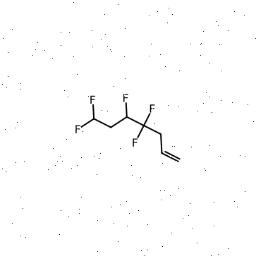 C=CCC(F)(F)C(F)CC(F)F